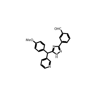 COc1ccc(C(c2cccnc2)c2nc(-c3cccc(C=O)c3)n[nH]2)cc1